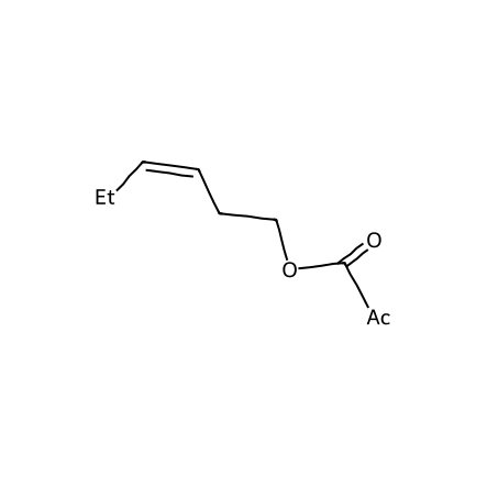 CC/C=C\CCOC(=O)C(C)=O